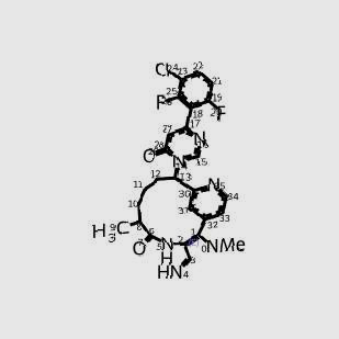 CN/C1=C(\C=N)NC(=O)C(C)CCCC(n2cnc(-c3c(F)ccc(Cl)c3F)cc2=O)c2cc1ccn2